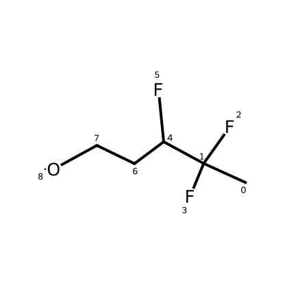 CC(F)(F)C(F)CC[O]